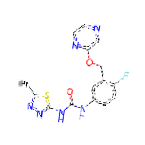 CC(C)c1nnc(NC(=O)Nc2ccc(F)c(COc3cnccn3)c2)s1